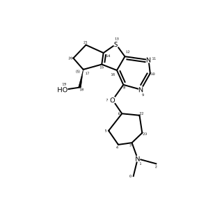 CN(C)C1CCC(Oc2ncnc3sc4c(c23)[C@@H](CO)CC4)CC1